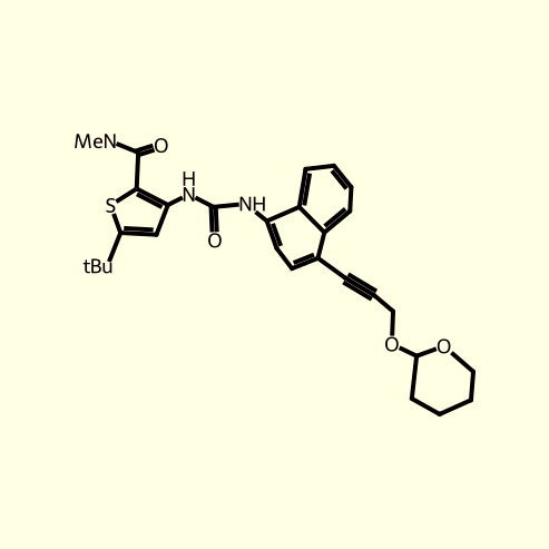 CNC(=O)c1sc(C(C)(C)C)cc1NC(=O)Nc1ccc(C#CCOC2CCCCO2)c2ccccc12